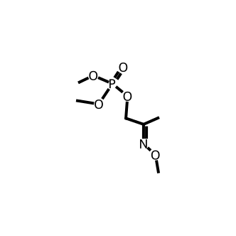 CO/N=C(\C)COP(=O)(OC)OC